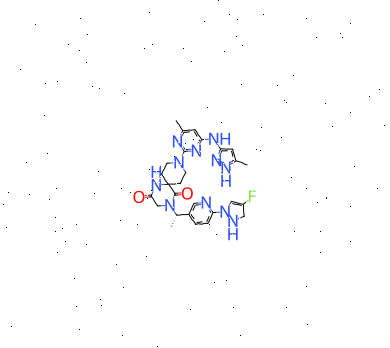 Cc1cc(Nc2cc(C)[nH]n2)nc(N2CCC3(CC2)NC(=O)CN([C@@H](C)c2ccc(N4C=C(F)CN4)nc2)C3=O)n1